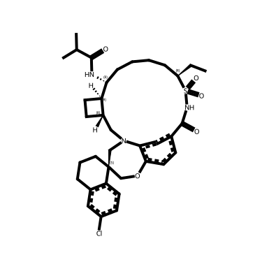 CC[C@@H]1CCCC[C@@H](NC(=O)C(C)C)[C@@H]2CC[C@H]2CN2C[C@@]3(CCCc4cc(Cl)ccc43)COc3ccc(cc32)C(=O)NS1(=O)=O